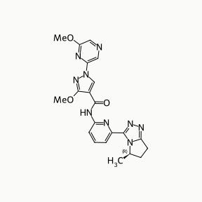 COc1cncc(-n2cc(C(=O)Nc3cccc(-c4nnc5n4[C@H](C)CC5)n3)c(OC)n2)n1